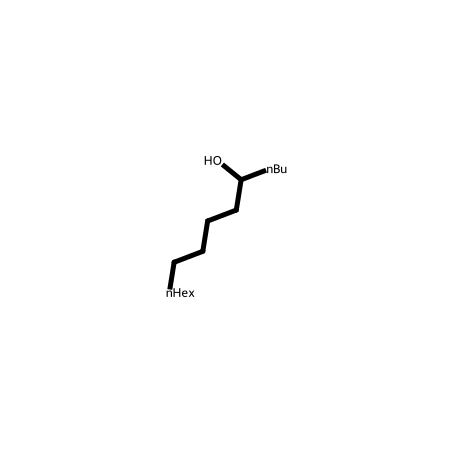 [CH2]CCCCCCCCCC(O)CCCC